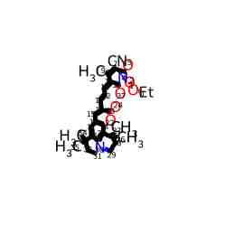 CCOON1C(=O)C(C#N)=C(C)/C(=C/C=C/c2cc3cc4c5c(c3oc2=O)C(C)(C)CCN5CCC4(C)C)C1=O